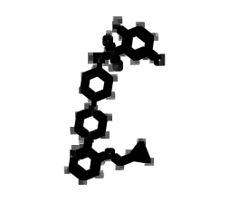 O=S(=O)(N[C@H]1CC[C@@H](N2CCN(c3ncccc3OCC3CC3)CC2)CC1)c1cc(Cl)ccc1F